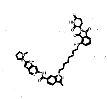 Cc1nn(CCCCCCCCNc2cccc3c2C(=O)N(C2CCC(=O)NC2=O)C3=O)c2cc(C(=O)Nc3cc4[nH]c([C@H]5CCCN5C)cc4cn3)ccc12